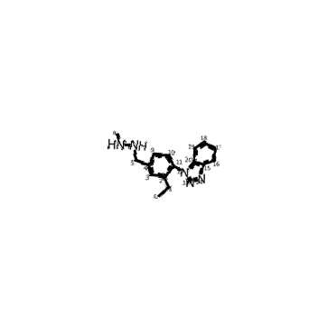 CCc1cc(CNNC)ccc1-n1nnc2ccccc21